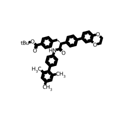 Cc1cc(C)c(-c2ccc(NC(=O)[C@H](Cc3ccc(C(=O)OC(C)(C)C)cc3)c3ccc(-c4ccc5c(c4)OCCO5)cc3)cc2)c(C)c1